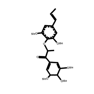 C/C=C/c1cc(OC)c(OC(C)C(=O)C2=CC(OC)C(OC)C(OC)=C2)c(OC)c1